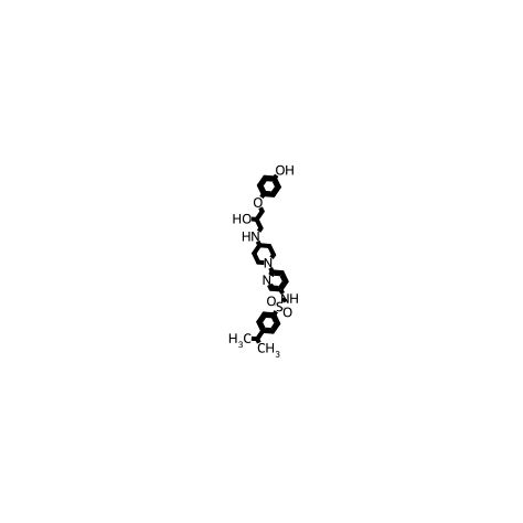 CC(C)c1ccc(S(=O)(=O)Nc2ccc(N3CCC(NCC(O)COc4ccc(O)cc4)CC3)nc2)cc1